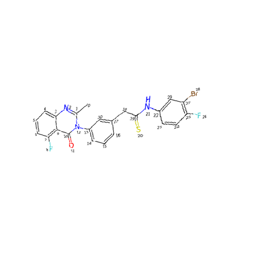 Cc1nc2cccc(F)c2c(=O)n1-c1cccc(CC(=S)Nc2ccc(F)c(Br)c2)c1